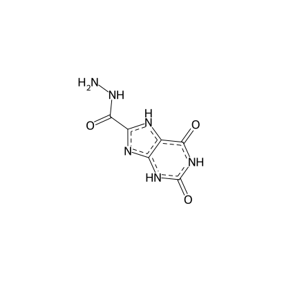 NNC(=O)c1nc2[nH]c(=O)[nH]c(=O)c2[nH]1